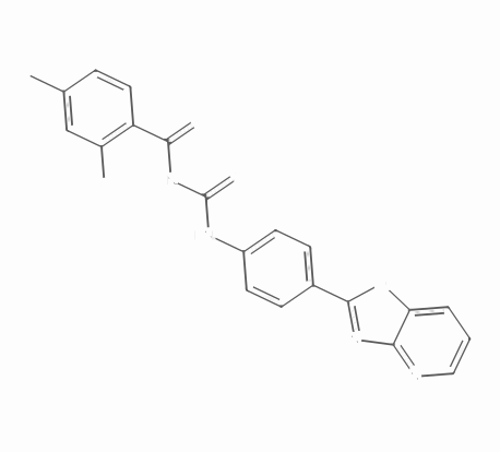 Cc1ccc(C(=O)NC(=S)Nc2ccc(-c3nc4ncccc4o3)cc2)c(Cl)c1